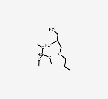 CCCOCC(O)CO.CO[SiH](OC)OC